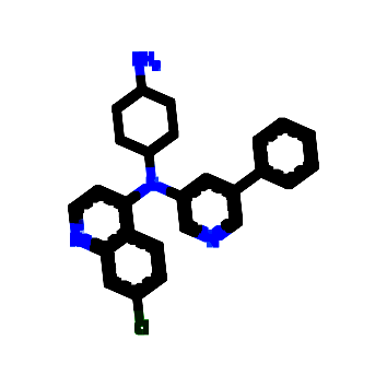 NC1CCC(N(c2cncc(-c3ccccc3)c2)c2ccnc3cc(Cl)ccc23)CC1